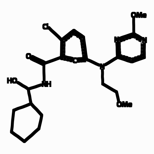 COCCN(c1ccc(Cl)c(C(=O)NC(O)C2CCCCC2)c1)c1ccnc(OC)n1